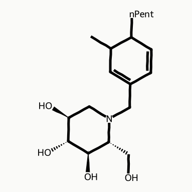 CCCCCC1C=CC(CN2C[C@H](O)[C@@H](O)[C@H](O)[C@H]2CO)=CC1C